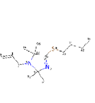 C=CCN1C(C)(C)N=C(SCCCC)C1(C)C